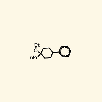 CCCC1(OCC)CCC(c2ccccc2)CC1